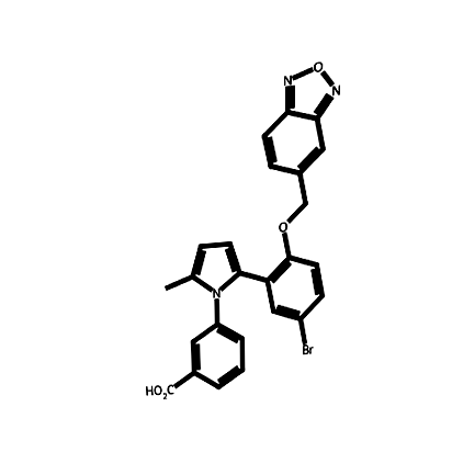 Cc1ccc(-c2cc(Br)ccc2OCc2ccc3nonc3c2)n1-c1cccc(C(=O)O)c1